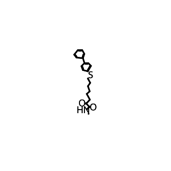 CNC(=O)C(=O)CCCCCCSc1ccc(-c2ccccc2)cc1